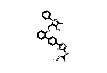 Cc1nn(-c2ccccc2)c(COc2ccccc2-c2ccc(-c3nnc(NC(=O)OC(C)(C)C)[nH]3)cc2)c1C#N